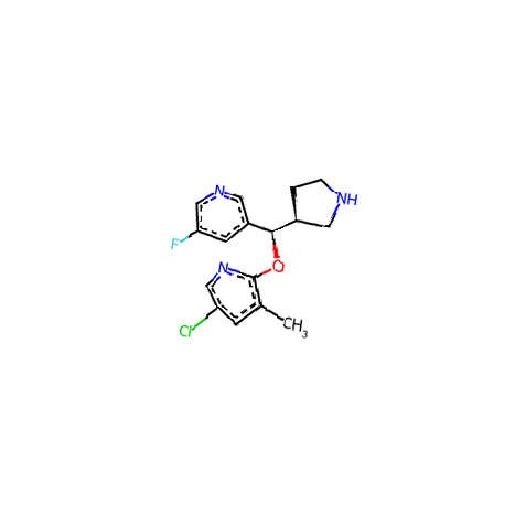 Cc1cc(Cl)cnc1O[C@@H](c1cncc(F)c1)[C@H]1CCNC1